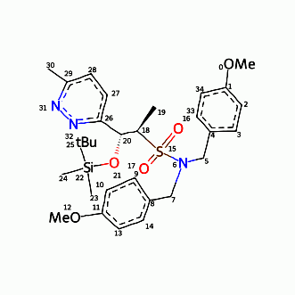 COc1ccc(CN(Cc2ccc(OC)cc2)S(=O)(=O)[C@H](C)[C@H](O[Si](C)(C)C(C)(C)C)c2ccc(C)nn2)cc1